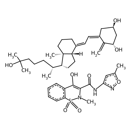 C=C1/C(=C\C=C2/CCC[C@]3(C)[C@@H]([C@H](C)CCCC(C)(C)O)CC[C@@H]23)C[C@@H](O)C[C@@H]1O.Cc1cc(NC(=O)C2=C(O)c3ccccc3S(=O)(=O)N2C)no1